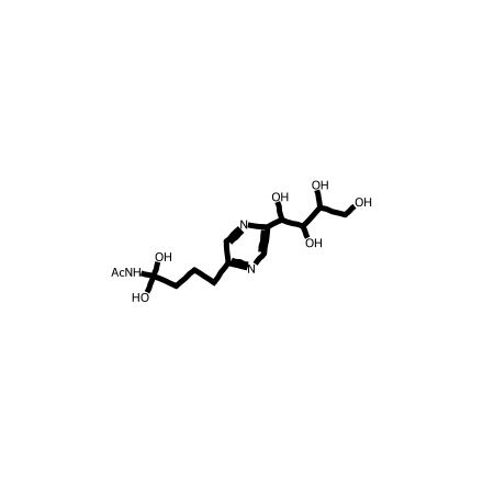 CC(=O)NC(O)(O)CCCc1cnc(C(O)C(O)C(O)CO)cn1